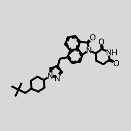 CC(C)(C)CC1CCC(n2cc(Cc3ccc4c5c(cccc35)C(=O)N4C3CCC(=O)NC3=O)cn2)CC1